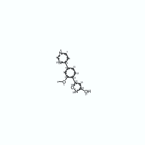 COc1cc(-c2ccncn2)ccc1-c1cc(O)no1